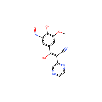 COc1cc(/C(O)=C(\C#N)c2cnccn2)cc(N=O)c1O